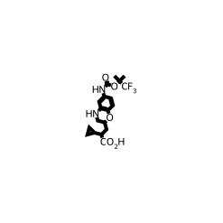 CC(C)(OC(=O)Nc1ccc2c(c1)NCC(CC(C(=O)O)C1CC1)O2)C(F)(F)F